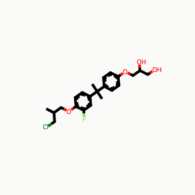 CC(CCl)COc1ccc(C(C)(C)c2ccc(OCC(O)CO)cc2)cc1F